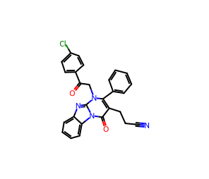 N#CCCc1c(-c2ccccc2)n(CC(=O)c2ccc(Cl)cc2)c2nc3ccccc3n2c1=O